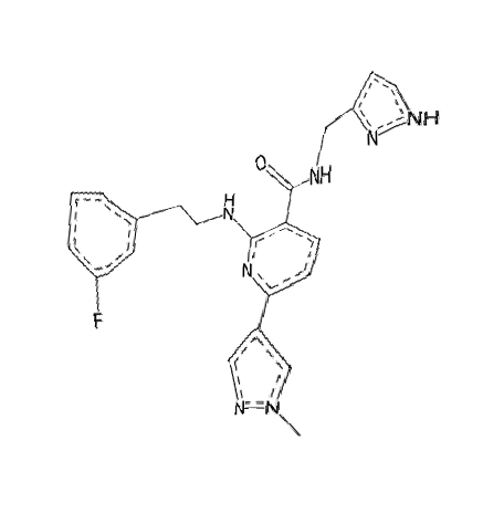 Cn1cc(-c2ccc(C(=O)NCc3cc[nH]n3)c(NCCc3cccc(F)c3)n2)cn1